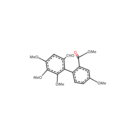 COC(=O)c1cc(OC)ccc1-c1c(C=O)cc(OC)c(OC)c1OC